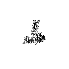 C=CC(=O)N1CCN(c2cccc(-c3c(-c4ccc(Oc5cccc(C)n5)cc4)c4c(N)ncnc4n3C)c2)CC1.Cl